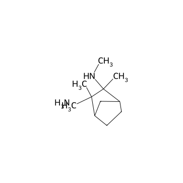 CNC1(C)C2CCC(C2)C1(C)C.N